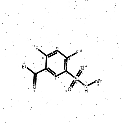 CCCNS(=O)(=O)c1cc(C(=O)CC)c(F)cc1F